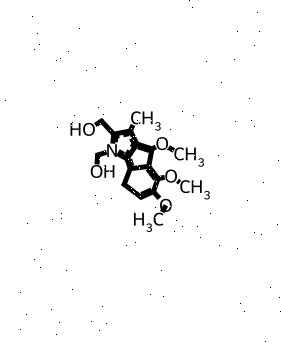 COC1=CCC2=c3c(c(C)c(CO)n3CO)=C(OC)C2=C1OC